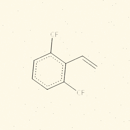 C=Cc1c(C(F)(F)F)cccc1C(F)(F)F